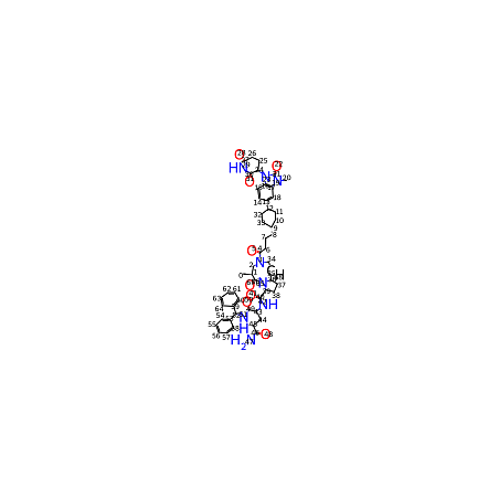 C[C@H]1CN(C(=O)CCC[C@H]2CC[C@@H](c3ccc4c(c3)n(C)c(=O)n4C3CCC(=O)NC3=O)CC2)CC[C@H]2CC[C@@H](C(=O)N[C@@H](CCC(N)=O)C(=O)NC(c3ccccc3)c3ccccc3)N2C1=O